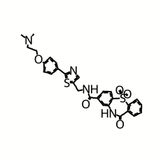 CN(C)CCOc1ccc(-c2ncc(CNC(=O)c3ccc4c(c3)NC(=O)c3ccccc3S4(=O)=O)s2)cc1